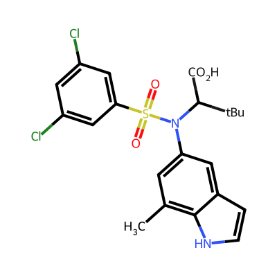 Cc1cc(N(C(C(=O)O)C(C)(C)C)S(=O)(=O)c2cc(Cl)cc(Cl)c2)cc2cc[nH]c12